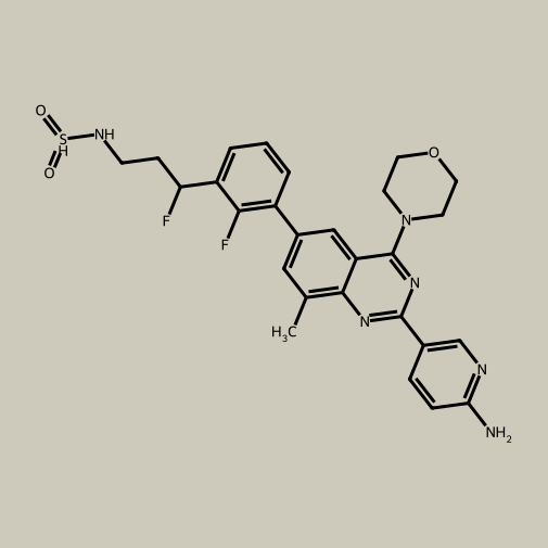 Cc1cc(-c2cccc(C(F)CCN[SH](=O)=O)c2F)cc2c(N3CCOCC3)nc(-c3ccc(N)nc3)nc12